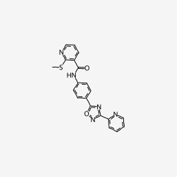 CSc1ncccc1C(=O)Nc1ccc(-c2nc(-c3ccccn3)no2)cc1